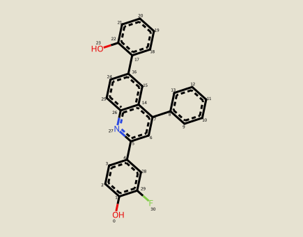 Oc1ccc(-c2cc(-c3ccccc3)c3cc(-c4ccccc4O)ccc3n2)cc1F